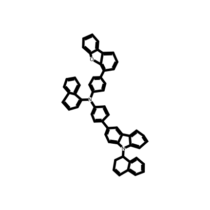 C1=Cc2ccccc2C(n2c3ccccc3c3cc(-c4ccc(N(c5ccc(-c6cccc7c6oc6ccccc67)cc5)c5cccc6ccccc56)cc4)ccc32)C1